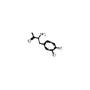 CC(=O)C(N)Cc1ccc(Cl)c(Cl)c1